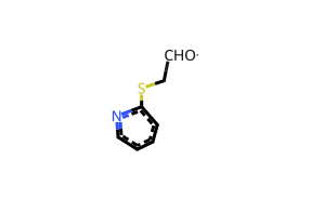 O=[C]CSc1ccccn1